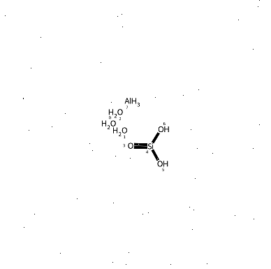 O.O.O.O=[Si](O)O.[AlH3]